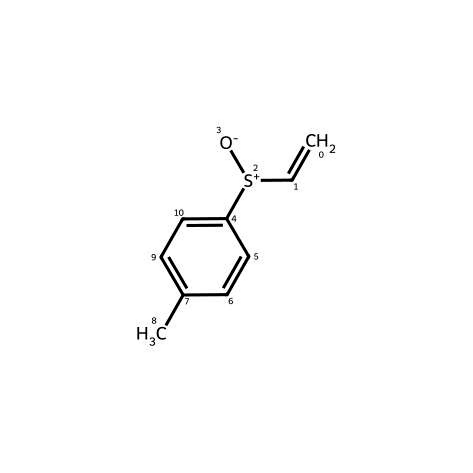 C=C[S+]([O-])c1ccc(C)cc1